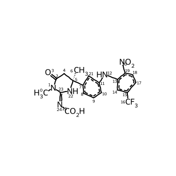 CN1C(=O)C[C@@](C)(c2cccc(Nc3cc(C(F)(F)F)ccc3[N+](=O)[O-])c2)N/C1=N\C(=O)O